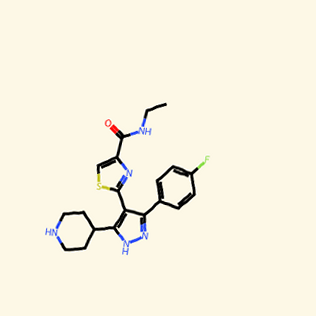 CCNC(=O)c1csc(-c2c(-c3ccc(F)cc3)n[nH]c2C2CCNCC2)n1